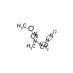 CCc1cccc(-c2ccc(N(CC)CCN(C)CC(=O)N3CCN(C4CCC4)CC3)nn2)c1